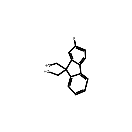 OCC1(CO)c2ccccc2-c2ccc(F)cc21